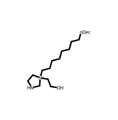 CCCCCCCCCCCCCCCCCC[N+]1(CCO)CCNC1